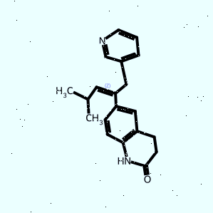 CC(C)/C=C(/Cc1cccnc1)c1ccc2c(c1)CCC(=O)N2